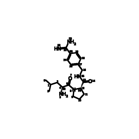 CC(C)C[C@@H](N)C(=O)N1CCC[C@H]1C(=O)NCc1ccc(C(=N)N)cc1